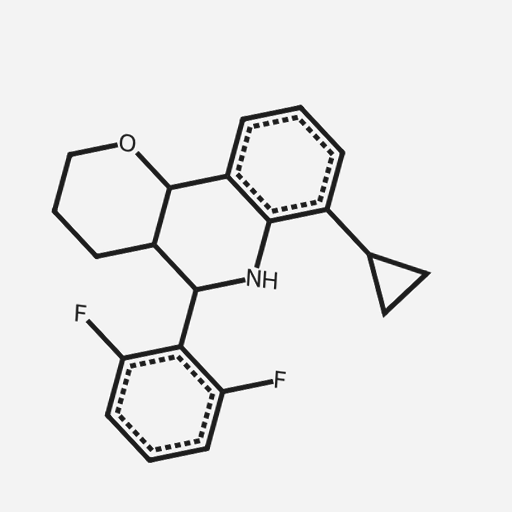 Fc1cccc(F)c1C1Nc2c(C3CC3)cccc2C2OCCCC12